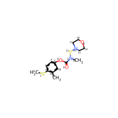 CSc1ccc(OC(=O)N(C)SN2CCOCC2)cc1C